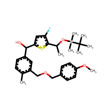 COc1ccc(COCc2cc(C(O)c3cc(F)c(C(C)O[Si](C)(C)C(C)(C)C)s3)ccc2C)cc1